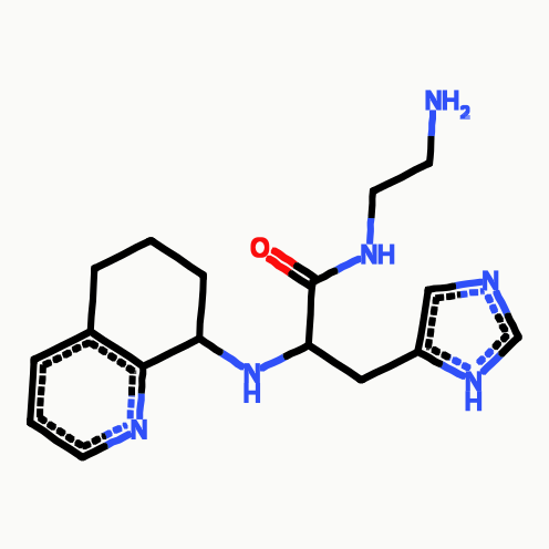 NCCNC(=O)C(Cc1cnc[nH]1)NC1CCCc2cccnc21